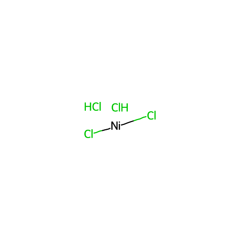 Cl.Cl.[Cl][Ni][Cl]